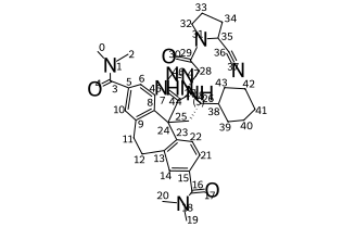 CN(C)C(=O)c1ccc2c(c1)CCc1cc(C(=O)N(C)C)ccc1C2(C[C@H](NCC(=O)N1CCCC1C#N)C1CCCCC1)c1nnn[nH]1